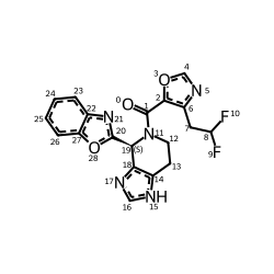 O=C(c1ocnc1CC(F)F)N1CCc2[nH]cnc2[C@H]1c1nc2ccccc2o1